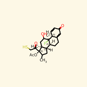 CC(=O)O[C@]1(C(=O)CS)C(C)C[C@H]2[C@@H]3CCC4=CC(=O)C=C[C@]4(C)[C@@]3(F)C(O)C[C@@]21C